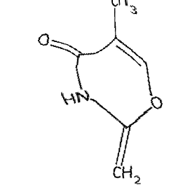 C=C1NC(=O)C(C)=CO1